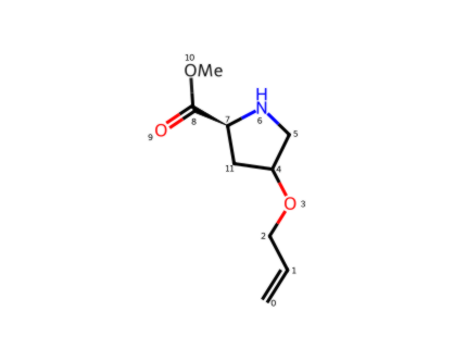 C=CCOC1CN[C@H](C(=O)OC)C1